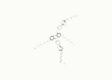 CCCCCCCCCc1ccc(Oc2ccc(CCCCCCCCC)cc2C[C@H]2CC[C@H](c3ncc(CCCCCCC)cn3)CC2)c(C[C@H]2CC[C@H](c3ncc(CCCCCCC)cn3)CC2)c1